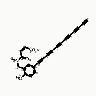 C#CC#CC#CC#CC#CC#Cc1ccc(O)c(CN(C)C(=O)/C=C\C(=O)O)c1